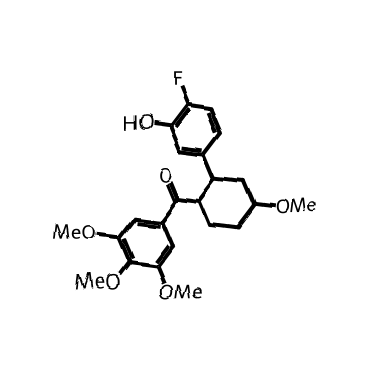 COc1cc(C(=O)C2CCC(OC)CC2c2ccc(F)c(O)c2)cc(OC)c1OC